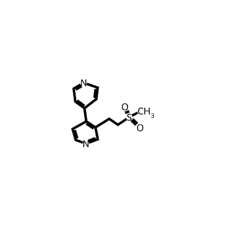 CS(=O)(=O)CCc1cnccc1-c1ccncc1